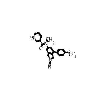 COc1ccc(-c2cc(N(C)C(=O)[C@@H]3CCCNC3)cc3c2CN(C#N)C3)cc1